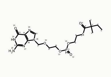 CCC(C)(C)C(=O)SCCO[PH](=O)OCCOCn1cnc2c(=O)[nH]c(N)nc21